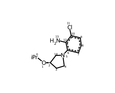 CC(C)O[C@@H]1CCN(c2cccc(Cl)c2N)C1